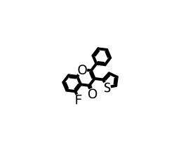 O=c1c(-c2cccs2)c(-c2ccccc2)oc2cccc(F)c12